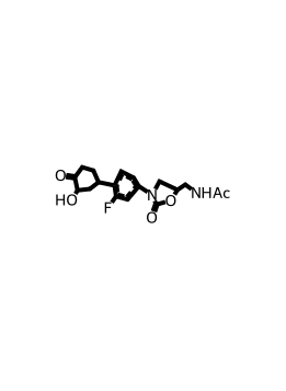 CC(=O)NCC1CN(c2ccc(C3CCC(=O)C(O)C3)c(F)c2)C(=O)O1